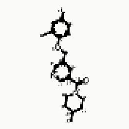 Cc1cc(Cl)ccc1OCc1cncc(C(=O)N2CCC(C)CC2)c1